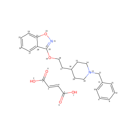 O=C(O)C=CC(=O)O.c1ccc(CN2CCC(CCOc3noc4ccccc34)CC2)cc1